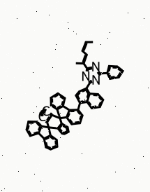 C/C=C\C=C(/C)c1nc(-c2ccccc2)nc(-c2ccc(-c3cccc4c3-c3ccccc3C43c4ccccc4C4(c5ccccc5-c5ccccc54)c4ccccc43)c3ccccc23)n1